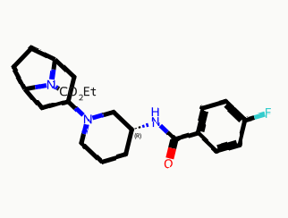 CCOC(=O)N1C2CCC1CC(N1CCC[C@@H](NC(=O)c3ccc(F)cc3)C1)C2